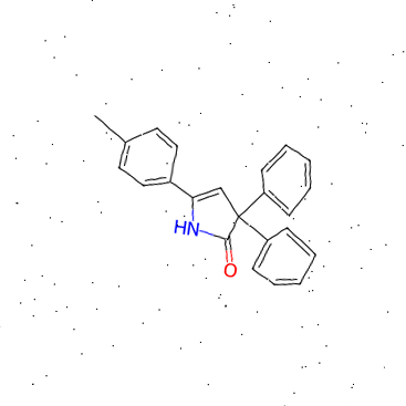 Cc1ccc(C2=CC(c3ccccc3)(c3ccccc3)C(=O)N2)cc1